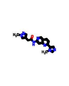 Cn1cc(CC(=O)Nc2cc3nc(-c4cncn4C)ccc3cn2)cn1